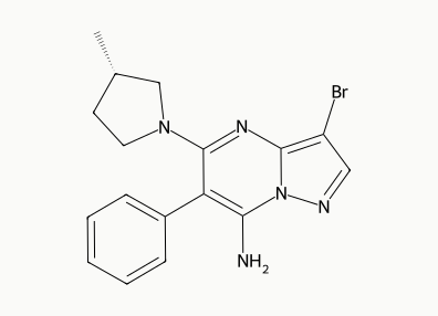 C[C@H]1CCN(c2nc3c(Br)cnn3c(N)c2-c2ccccc2)C1